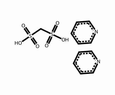 O=S(=O)(O)CS(=O)(=O)O.c1ccncc1.c1ccncc1